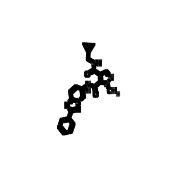 Cn1ncc(C(=O)NCC2CC2)c1C(=O)Nc1ccc2nc(-c3ccccc3)nn2c1